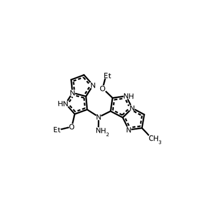 CCOc1[nH]n2ccnc2c1N(N)c1c(OCC)[nH]n2cc(C)nc12